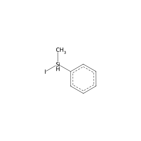 C[SiH](I)c1ccccc1